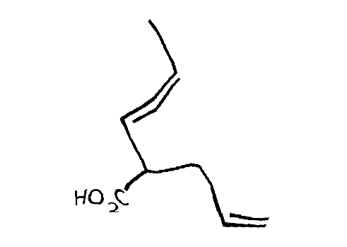 C=CCC(/C=C/C)C(=O)O